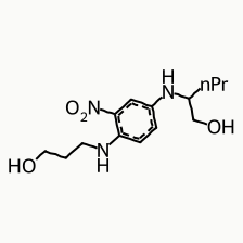 CCCC(CO)Nc1ccc(NCCCO)c([N+](=O)[O-])c1